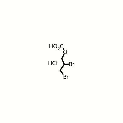 Cl.O=C(O)OCC(Br)CBr